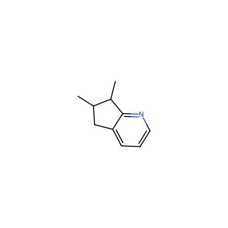 CC1Cc2cccnc2C1C